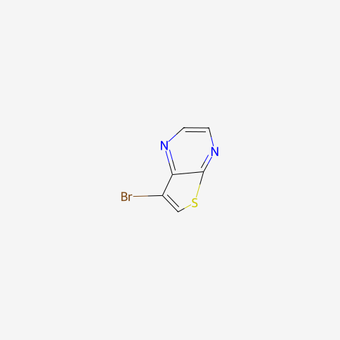 Brc1csc2nccnc12